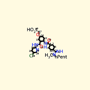 CCCCCN(C)C(=N)c1ccc(C(=O)Nc2ccc(OCC(=O)O)cc2C(=O)Nc2ccc(Cl)cn2)cc1